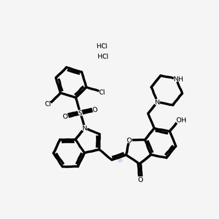 Cl.Cl.O=C1/C(=C/c2cn(S(=O)(=O)c3c(Cl)cccc3Cl)c3ccccc23)Oc2c1ccc(O)c2CN1CCNCC1